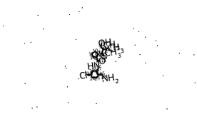 CC(C)(C)C(CO)C(=O)N1CCCC1C(=O)NCc1cc(Cl)ccc1CN